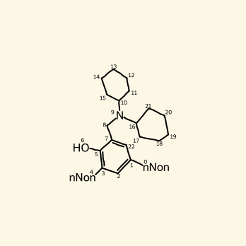 CCCCCCCCCc1cc(CCCCCCCCC)c(O)c(CN(C2CCCCC2)C2CCCCC2)c1